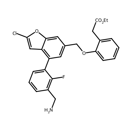 CCOC(=O)Cc1ccccc1OCc1cc(-c2cccc(CN)c2F)c2cc(Cl)oc2c1